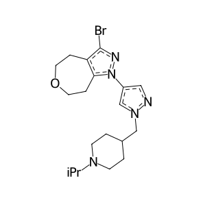 CC(C)N1CCC(Cn2cc(-n3nc(Br)c4c3CCOCC4)cn2)CC1